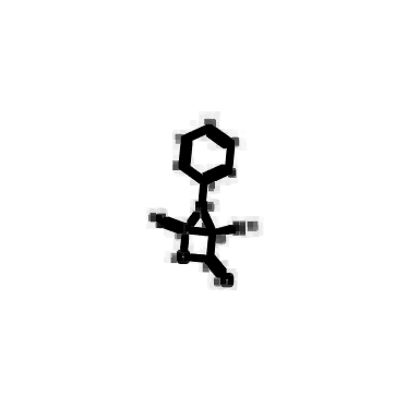 O=C1OP2(=S)[C@@H]1N2c1ccccc1